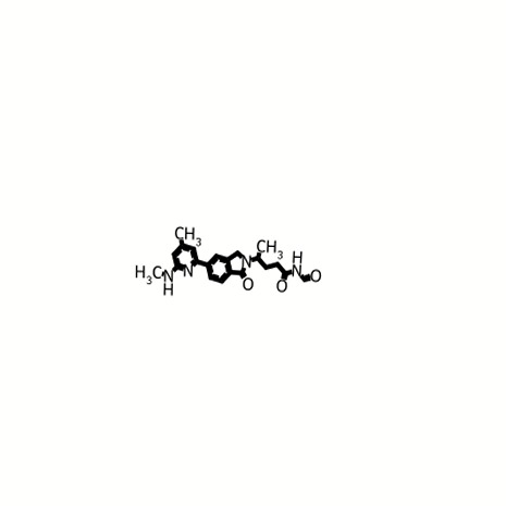 CNc1cc(C)cc(-c2ccc3c(c2)CN(C(C)CCC(=O)NC=O)C3=O)n1